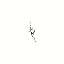 CCCCN1C=CN(CCC)C1C